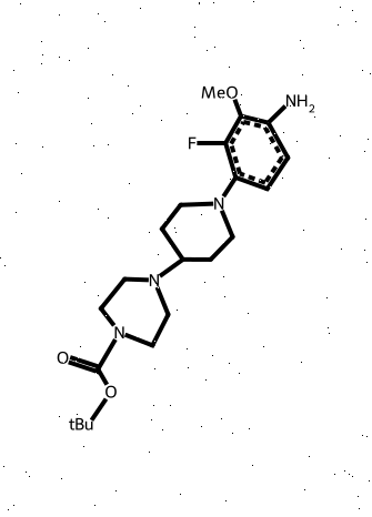 COc1c(N)ccc(N2CCC(N3CCN(C(=O)OC(C)(C)C)CC3)CC2)c1F